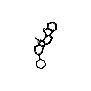 Cn1c2ccc(C3CCCCC3)cc2c2ccc3c4ccccc4sc3c21